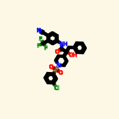 N#Cc1ccc(NC(=O)C(O)(Cc2ccccc2)C2CCN(S(=O)(=O)c3cccc(Cl)c3)CC2)cc1C(F)(F)F